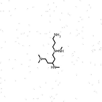 CNC(CCN(C)C)CCN(CCCN)NC